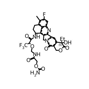 CC[C@@]1(O)C(=O)OCc2c1cc1n(c2=O)Cc2c-1nc1cc(F)c(C)c3c1c2[C@@H](NC(=O)C(OCNC(=O)COC(N)=O)C(F)(F)F)CC3